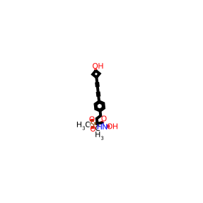 CC(CCc1ccc(C#CC#CC2CC(O)C2)cc1)(C(=O)NO)S(C)(=O)=O